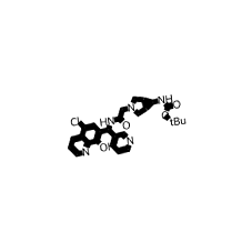 CC(C)(C)OC(=O)NC1C2CN(CC(=O)NC(c3cccnc3)c3cc(Cl)c4cccnc4c3O)CC21